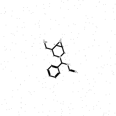 O=COC(c1ccccc1)N1CC(CO)C2OC2C1